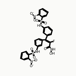 O=C(NO)C(F)=C(c1cccc(NS(=O)(=O)c2ccccc2[N+](=O)[O-])c1)c1cccc(NS(=O)(=O)c2ccccc2[N+](=O)[O-])c1